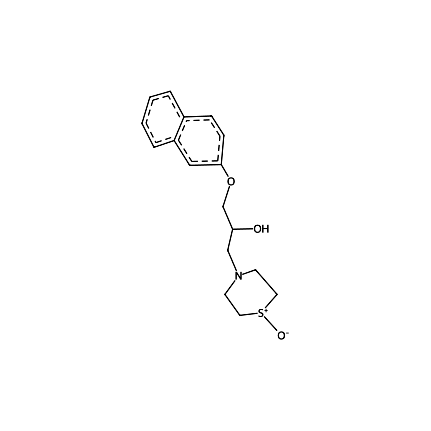 [O-][S+]1CCN(CC(O)COc2ccc3ccccc3c2)CC1